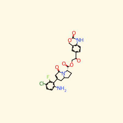 Nc1ccc(Cl)c(F)c1C1=CC(=O)N2C(CC[C@H]2C(=O)OCC(=O)c2ccc3c(c2)COC(=O)N3)C1